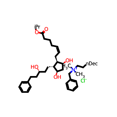 CC(C)OC(=O)CCC/C=C\C[C@@H]1[C@@H](CC[C@@H](O)CCc2ccccc2)[C@H](O)C[C@@H]1O.CCCCCCCCCCCC[N+](C)(C)Cc1ccccc1.[Cl-]